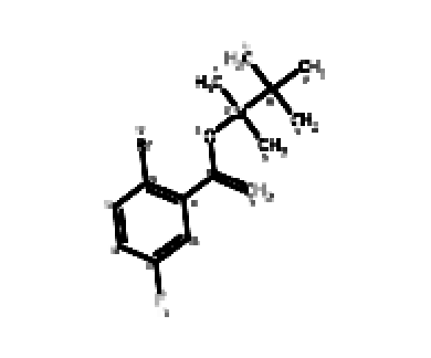 C=C(O[Si](C)(C)C(C)(C)C)c1cc(F)ccc1Br